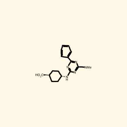 CNc1nc(N[C@H]2CC[C@H](C(=O)O)CC2)nc(-c2ccccc2)n1